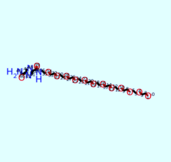 COCCOCCOCCOCCOCCOCCOCCOCCOCCOCCOCCOCCNC(=O)c1cnc(C(N)=O)cn1